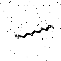 C=COCCOCCN